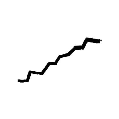 [CH]=C/C=C/CCCCCCCC